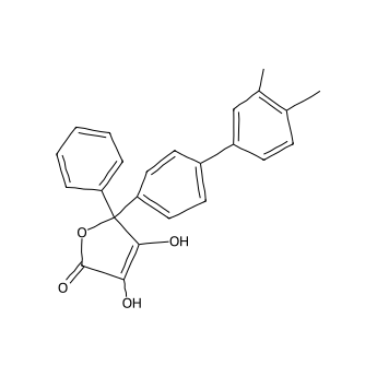 Cc1ccc(-c2ccc(C3(c4ccccc4)OC(=O)C(O)=C3O)cc2)cc1C